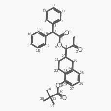 CC(=O)C(OC(=O)C(c1ccccc1)c1ccccc1)C1CCc2c(cccc2OC(=O)C(C)(C)C)C1